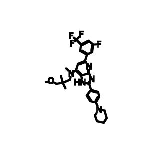 COCC(C)(C)CN(C)c1cc(-c2cc(F)cc(C(F)(F)F)c2)nc2nc(-c3ccc(N4CCCCC4)cc3)[nH]c12